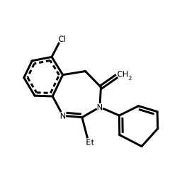 C=C1Cc2c(Cl)cccc2N=C(CC)N1C1=CCCC=C1